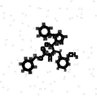 Cc1ccccc1CC(NC(=O)OCc1ccccc1)C(=O)c1nccn1-c1ccccc1